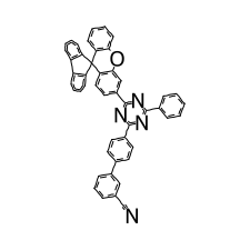 N#Cc1cccc(-c2ccc(-c3nc(-c4ccccc4)nc(-c4ccc5c(c4)Oc4ccccc4C54c5ccccc5-c5ccccc54)n3)cc2)c1